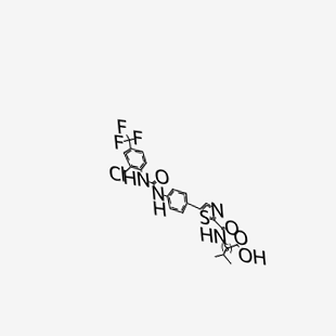 CC(C)[C@H](NC(=O)c1ncc(-c2ccc(NC(=O)Nc3ccc(C(F)(F)F)cc3Cl)cc2)s1)C(=O)O